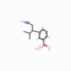 CC(C)C(CC#N)c1cccc(C(=O)O)c1